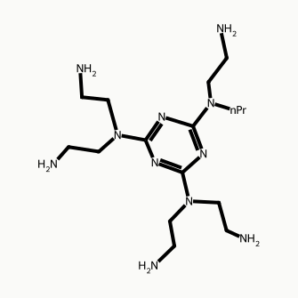 CCCN(CCN)c1nc(N(CCN)CCN)nc(N(CCN)CCN)n1